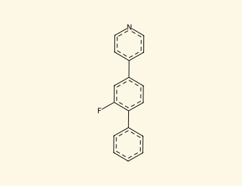 Fc1cc(-c2ccncc2)ccc1-c1ccccc1